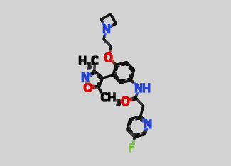 Cc1noc(C)c1-c1cc(NC(=O)Cc2ccc(F)cn2)ccc1OCCN1CCC1